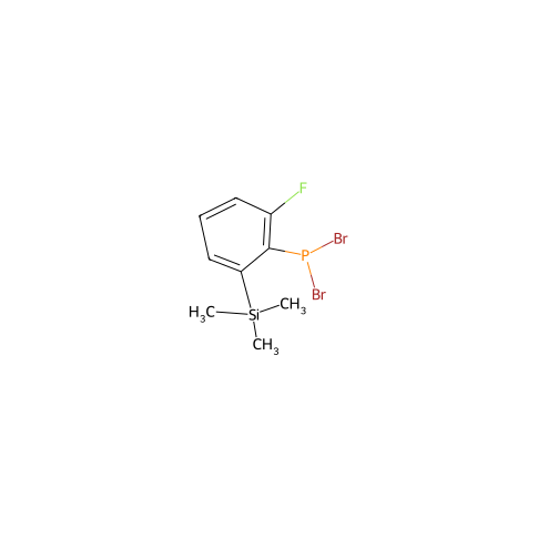 C[Si](C)(C)c1cccc(F)c1P(Br)Br